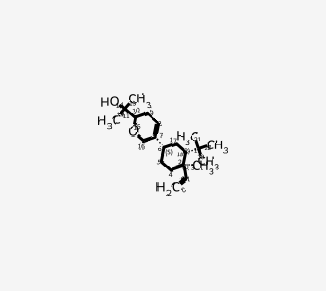 C=C[C@@]1(C)CC[C@H](C2=CCC(C(C)(C)O)OC2)C[C@@H]1C(C)(C)C